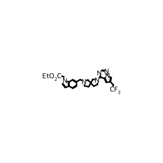 CCOC(=O)Cn1ccc2ccc(CN3CCC4(CCN(c5ncnn6cc(CC(F)(F)F)cc56)C4)C3)cc21